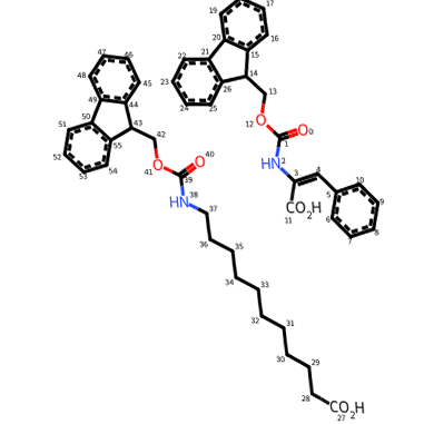 O=C(NC(=Cc1ccccc1)C(=O)O)OCC1c2ccccc2-c2ccccc21.O=C(O)CCCCCCCCCCNC(=O)OCC1c2ccccc2-c2ccccc21